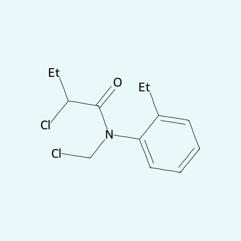 CCc1ccccc1N(CCl)C(=O)C(Cl)CC